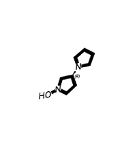 ON1CC[C@@H](N2CCCC2)C1